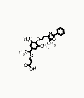 Cc1cc(C(C)O/C=C/C(=O)O)cc(C)c1OCCc1nc(-c2ccccc2)oc1C